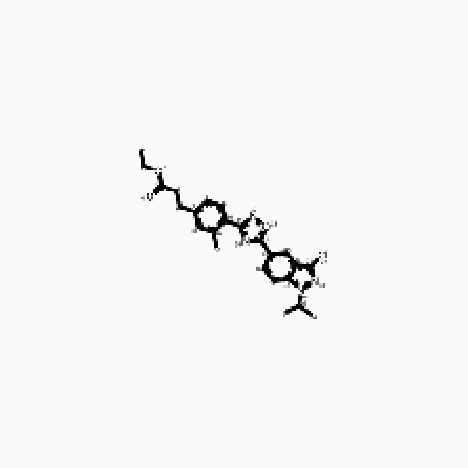 CCOC(=O)CCc1ccc(-c2noc(-c3ccc4c(c3)c(Cl)nn4C(C)C)n2)c(C)c1